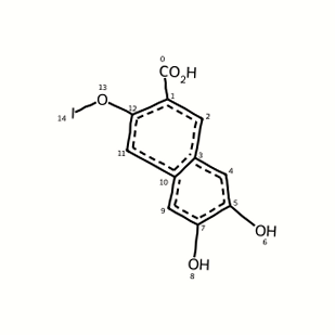 O=C(O)c1cc2cc(O)c(O)cc2cc1OI